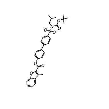 Cc1c(C(=O)Oc2ccc(-c3ccc(S(=O)(=O)N(CC(C)C)C(=O)OC(C)(C)C)cc3)cc2)oc2ccccc12